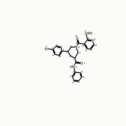 CCc1ccc(C2CC(C(=O)Nc3ccccc3)CN(C(=O)c3cccnc3OC)C2)cc1